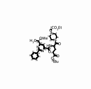 CCOC(=O)ON1CCN(C(=O)C(CCC(=O)OC(C)(C)C)NC(=O)c2cc([C@H](C)OC)nc(-c3ccccc3)n2)CC1